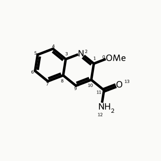 COc1nc2ccccc2[c]c1C(N)=O